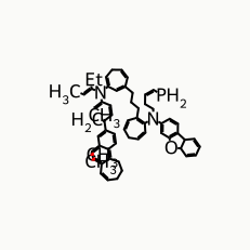 C=C(/C=C\C(=C/C)N(C1=CCC=CC(CCCC2=C(N(CC/C=C\P)c3ccc4c(c3)OC3C=CC=CC43)C=CCC=C2)=C1)/C(=C/C)CC)c1ccc(=C2\CCCC=C\C2=C\C)/c(=C\C)c1